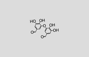 O=Cc1cc(O)c(O)c(Oc2cc(C=O)cc(O)c2O)c1